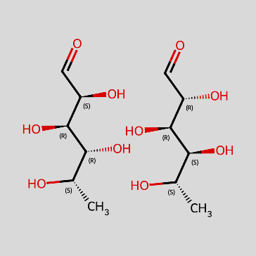 C[C@H](O)[C@@H](O)[C@@H](O)[C@H](O)C=O.C[C@H](O)[C@H](O)[C@@H](O)[C@@H](O)C=O